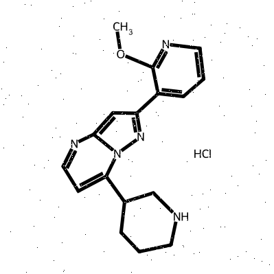 COc1ncccc1-c1cc2nccc(C3CCCNC3)n2n1.Cl